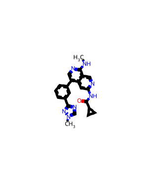 CNc1ncc(-c2cccc(-c3ncn(C)n3)c2)c2cc(NC(=O)C3CC3)ncc12